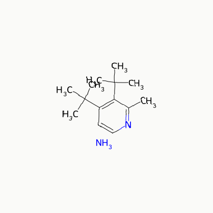 Cc1nccc(C(C)(C)C)c1C(C)(C)C.N